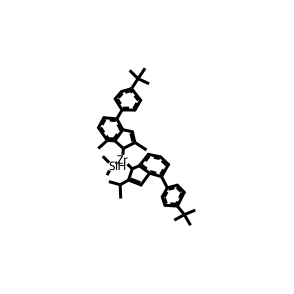 CC1=Cc2c(-c3ccc(C(C)(C)C)cc3)ccc(C)c2[CH]1[Zr]([CH]1C(C(C)C)=Cc2c(-c3ccc(C(C)(C)C)cc3)cccc21)[SiH](C)C